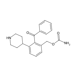 NC(=O)OCc1cccc(C2CCNCC2)c1C(=O)c1ccccc1